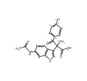 CC(=O)Nc1ccc2c(C(C)(C(=O)O)C(=O)c3ccc(Cl)cc3)coc2c1